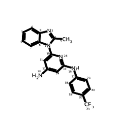 Cc1nc2ccccc2n1-c1cc(N)cc(Nc2ccc(C(F)(F)F)cc2)n1